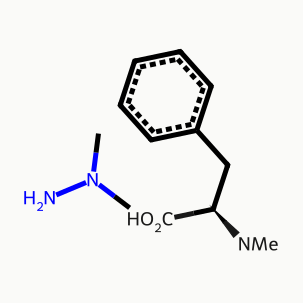 CN(C)N.CN[C@H](Cc1ccccc1)C(=O)O